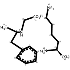 CC(Cc1ccccc1)NCC(=O)O.NCCCC[C@H](N)C(=O)O